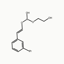 CC(C)c1cccc(C=COB(O)OCCO)c1